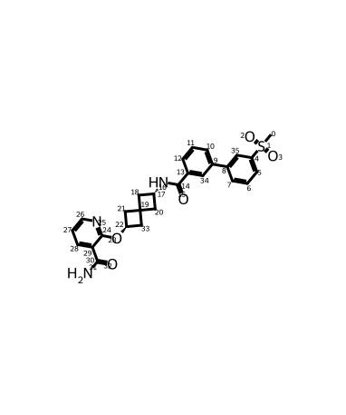 CS(=O)(=O)c1cccc(-c2cccc(C(=O)N[C@H]3CC4(C3)C[C@H](Oc3ncccc3C(N)=O)C4)c2)c1